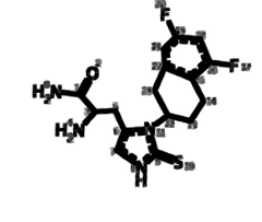 NC(=O)C(N)Cc1c[nH]c(=S)n1C1CCc2c(F)cc(F)cc2C1